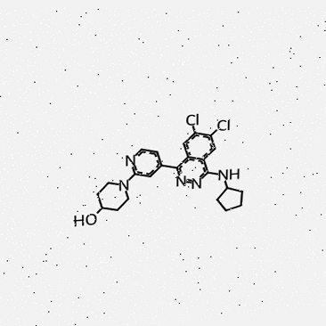 OC1CCN(c2cc(-c3nnc(NC4CCCC4)c4cc(Cl)c(Cl)cc34)ccn2)CC1